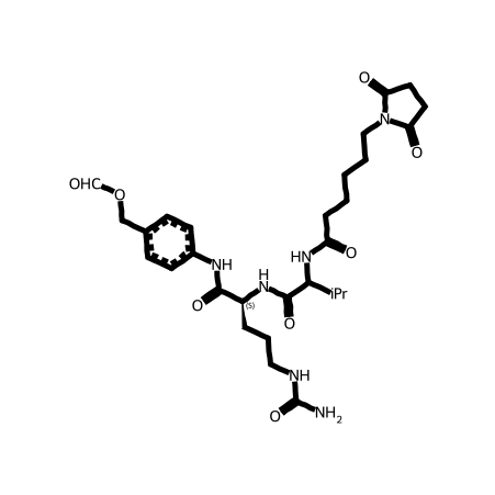 CC(C)C(NC(=O)CCCCCN1C(=O)CCC1=O)C(=O)N[C@@H](CCCNC(N)=O)C(=O)Nc1ccc(COC=O)cc1